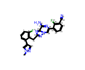 Cn1cc(-c2cccc(F)c2Cc2nc3c(N)nc(-c4cccc(C#N)c4F)cn3n2)cn1